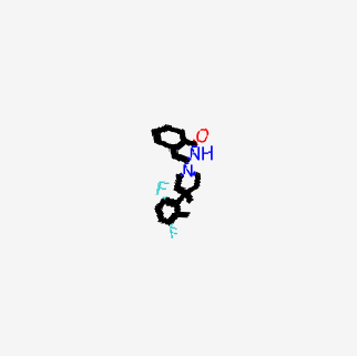 Cc1c(F)ccc(F)c1C1(C)CCN(c2cc3c(c(=O)[nH]2)CCCC3)CC1